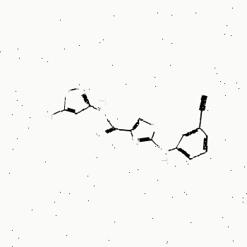 C#Cc1cccc(Nc2nc(C(=O)Nc3cc(C(C)(C)C)on3)cs2)c1